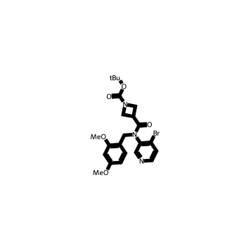 COc1ccc(CN(C(=O)C2CN(C(=O)OC(C)(C)C)C2)c2cnccc2Br)c(OC)c1